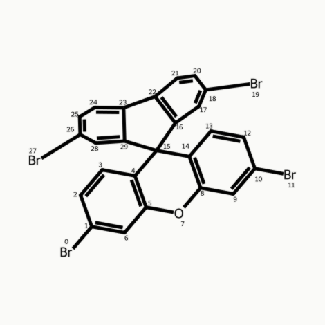 Brc1ccc2c(c1)Oc1cc(Br)ccc1C21c2cc(Br)ccc2-c2ccc(Br)cc21